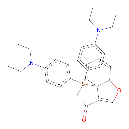 CCN(CC)c1ccc(S2(c3ccc(N(CC)CC)cc3)CC(=O)C3=COC4C=CC=CC342)cc1